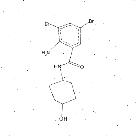 Nc1c(Br)cc(Br)cc1C(=O)NC1CCC(O)CC1